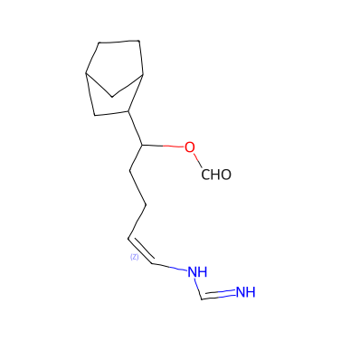 N=CN/C=C\CCC(OC=O)C1CC2CCC1C2